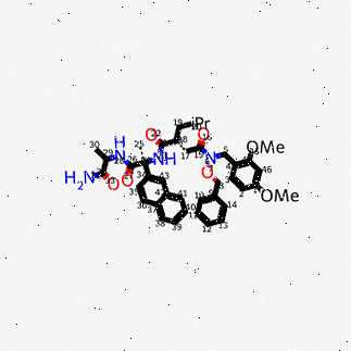 COc1ccc(CN(OCc2ccccc2)C(=O)C[C@@H](CC(C)C)C(=O)N[C@](C)(C(=O)NC(C)C(N)=O)c2ccc3ccccc3c2)c(OC)c1